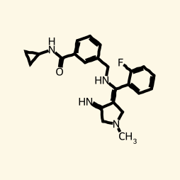 CN1CC(=N)/C(=C(\NCc2cccc(C(=O)NC3CC3)c2)c2ccccc2F)C1